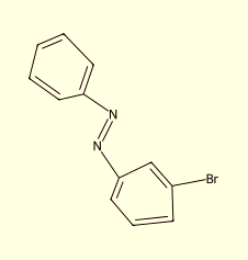 Brc1cccc(N=Nc2ccccc2)c1